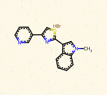 Br.Cn1cc(-c2nc(-c3cccnc3)cs2)c2ccccc21